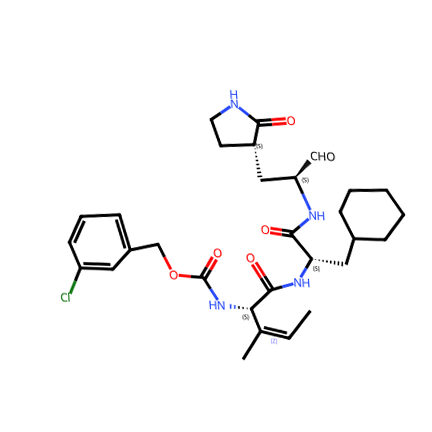 C/C=C(/C)[C@H](NC(=O)OCc1cccc(Cl)c1)C(=O)N[C@@H](CC1CCCCC1)C(=O)N[C@H](C=O)C[C@@H]1CCNC1=O